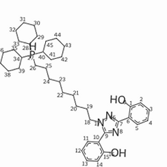 Oc1ccccc1-c1nc(-c2ccccc2O)n(CCCCCCCCC[PH](C2CCCCC2)(C2CCCCC2)C2CCCCC2)n1